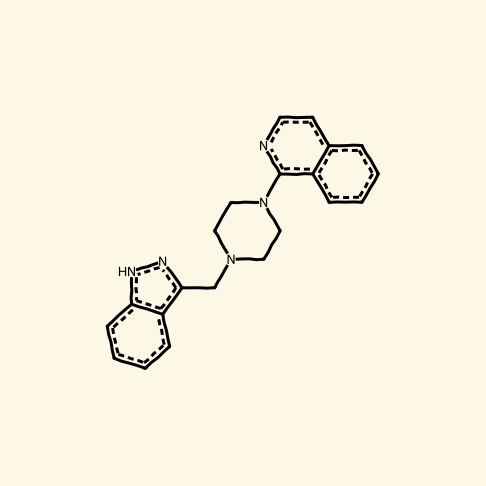 c1ccc2c(N3CCN(Cc4n[nH]c5ccccc45)CC3)nccc2c1